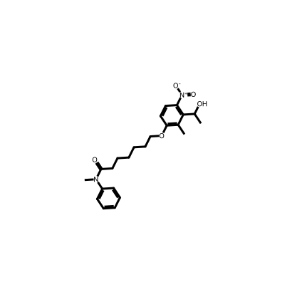 Cc1c(OCCCCCCC(=O)N(C)c2ccccc2)ccc([N+](=O)[O-])c1C(C)O